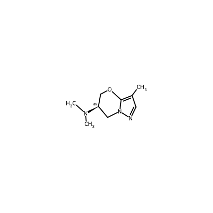 Cc1cnn2c1OC[C@H](N(C)C)C2